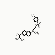 CC(=C(C#N)C#N)c1ccc2cc(N(C)CCOS(=O)(=O)c3ccc(C)cc3)ccc2c1